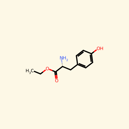 CCOC(=O)[C@H](N)Cc1ccc(O)cc1